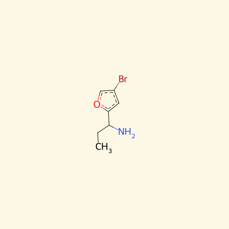 CCC(N)c1cc(Br)co1